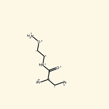 CC(C)CC(C(=O)NCCON)C(C)C